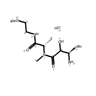 CCCC[C@@H](N)C(O)C(=O)N(C)[C@@H](C)C(=O)NCCOC.Cl